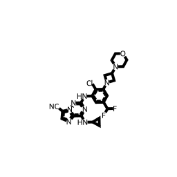 N#Cc1cnc2c(NC3CC3)nc(Nc3cc(C(F)F)cc(N4CC(N5CCOCC5)C4)c3Cl)nn12